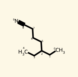 CCC(CC)CCCC#N